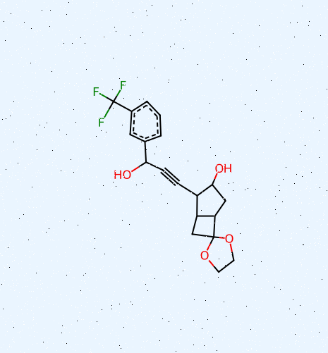 OC(C#CC1C(O)CC2C1CC21OCCO1)c1cccc(C(F)(F)F)c1